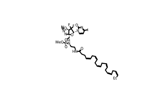 CC/C=C\C/C=C\C/C=C\C/C=C\C/C=C\C/C=C\CCC(=O)NCCNP(=O)(OC)OC[C@@]1(N=[N+]=[N-])O[C@@H](n2ccc(I)nc2=O)C(F)(F)[C@@H]1O